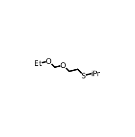 CCOCOCCSC(C)C